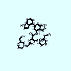 CC(C)CC1CN(Cc2nc(C(=O)Nc3cc(-c4cccc5[nH]ccc45)cc4[nH]ncc34)c(C(=O)O)s2)CCO1.CC(C)CC1CNCCO1